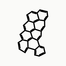 c1cc2ccc3cc4cc5cccc6c7ccccc7c7cc8cc(c1)c2c3c8c4c7c56